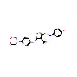 NC(=O)C1=C(NCc2ccc(O)cc2)N=NC1Nc1ccc(N2CCOCC2)nc1